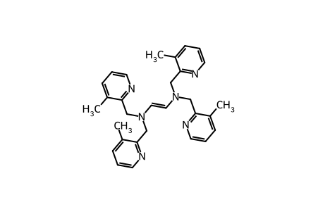 Cc1cccnc1CN(C=CN(Cc1ncccc1C)Cc1ncccc1C)Cc1ncccc1C